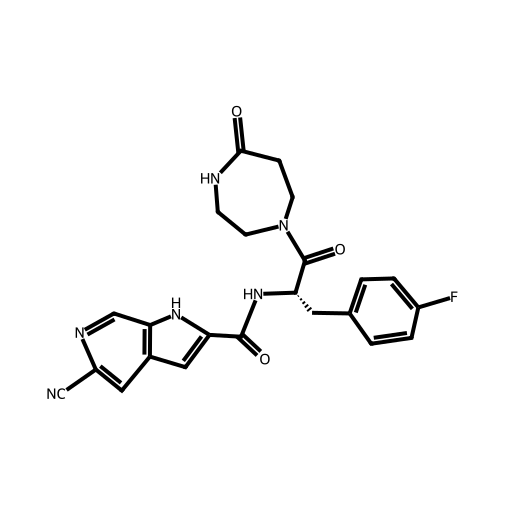 N#Cc1cc2cc(C(=O)N[C@@H](Cc3ccc(F)cc3)C(=O)N3CCNC(=O)CC3)[nH]c2cn1